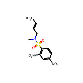 CN(CC=CC(=O)O)S(=O)(=O)c1ccc([N+](=O)[O-])cc1[N+](=O)[O-]